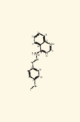 CSc1ccc(CCNc2ncnc3ccccc23)cc1